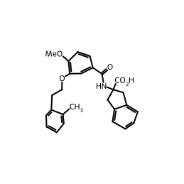 COc1ccc(C(=O)NC2(C(=O)O)Cc3ccccc3C2)cc1OCCc1ccccc1C